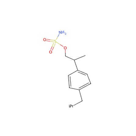 CC(C)Cc1ccc(C(C)COS(N)(=O)=O)cc1